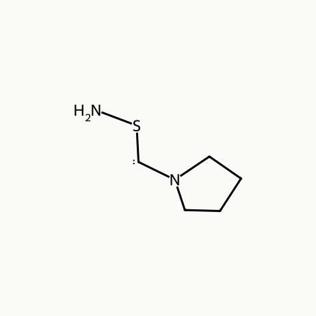 NS[C]N1CCCC1